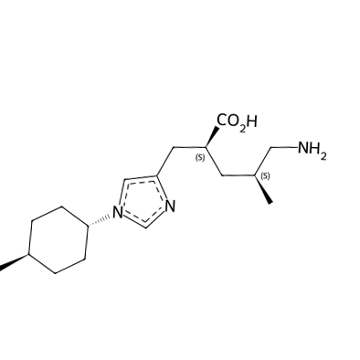 C[C@H](CN)C[C@@H](Cc1cn([C@H]2CC[C@H](C)CC2)cn1)C(=O)O